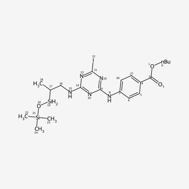 CCCCOC(=O)c1ccc(Nc2nc(I)nc(NCC(C)[SiH2]O[Si](C)(C)C)n2)cc1